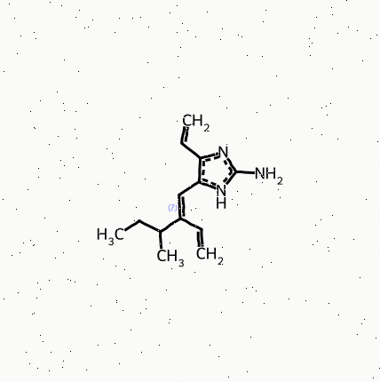 C=C/C(=C\c1[nH]c(N)nc1C=C)C(C)CC